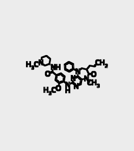 C=CCC1CN(c2ccccc2)c2nc(Nc3ccc(C(=O)N[C@H]4CCCN(C)C4)cc3OC)ncc2N(C)C1=O